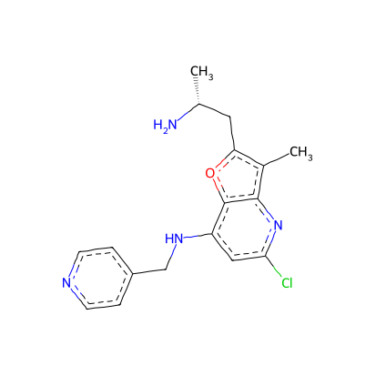 Cc1c(C[C@@H](C)N)oc2c(NCc3ccncc3)cc(Cl)nc12